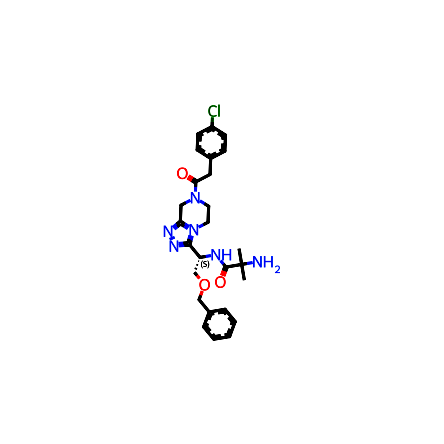 CC(C)(N)C(=O)N[C@H](COCc1ccccc1)c1nnc2n1CCN(C(=O)Cc1ccc(Cl)cc1)C2